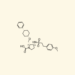 COc1ccc(CCS(=O)(=O)N[C@@H]2CCN(C(=O)O)[C@@H]2CO[C@H]2CC[C@@H](c3ccccc3)CC2)cc1